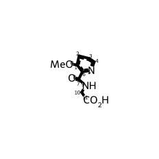 COc1cccnc1C(=O)NCC(=O)O